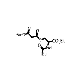 CCOC(=O)C(CSC(=O)CC(=O)OC)NC(=O)C(C)CC